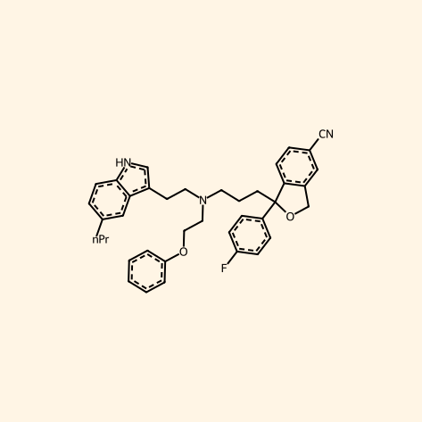 CCCc1ccc2[nH]cc(CCN(CCCC3(c4ccc(F)cc4)OCc4cc(C#N)ccc43)CCOc3ccccc3)c2c1